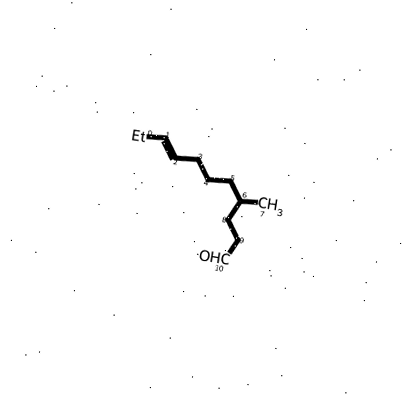 CC/C=C/CCCC(C)CC[C]=O